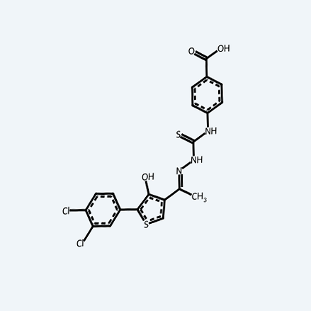 C/C(=N\NC(=S)Nc1ccc(C(=O)O)cc1)c1csc(-c2ccc(Cl)c(Cl)c2)c1O